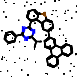 CC(C)c1nc(-c2ccccc2)nc(-c2cccc3sc4ccc(-c5ccc6c7ccccc7c7ccccc7c6c5)cc4c23)n1